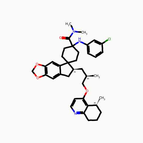 C[C@@H](COc1ccnc2c1[C@H](C)CCC2)C[C@H]1Cc2cc3c(cc2C12CCC(Nc1cccc(Cl)c1)(C(=O)N(C)C)CC2)OCO3